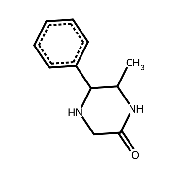 CC1NC(=O)CNC1c1ccccc1